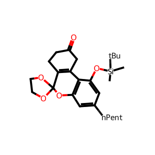 CCCCCc1cc2c(c(O[Si](C)(C)C(C)(C)C)c1)C1=C(CCC(=O)C1)C1(OCCO1)O2